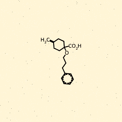 C=C1CCC(OCCCc2ccccc2)(C(=O)O)CC1